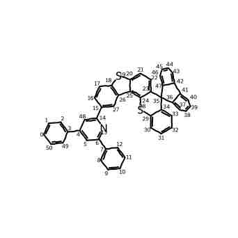 c1ccc(-c2cc(-c3ccccc3)nc(-c3ccc4sc5ccc6c(c5c4c3)Sc3ccccc3C63c4ccccc4-c4ccccc43)c2)cc1